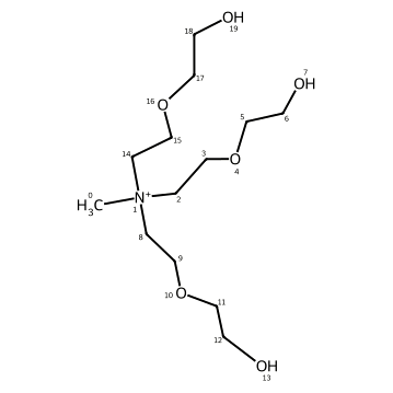 C[N+](CCOCCO)(CCOCCO)CCOCCO